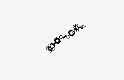 CC(C)c1noc(N2CCC(OCCOc3ccc(C4COS(=O)(=O)OC4)cc3)CC2)n1